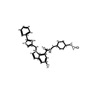 O=COC1CCC(CNC(=O)c2cc(Cl)cc3ccn(Cc4csc(-c5ccccc5)n4)c23)CC1